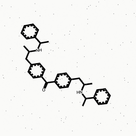 CC(Cc1ccc(C(=O)c2ccc(CC(C)NC(C)c3ccccc3)cc2)cc1)NC(C)c1ccccc1